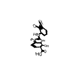 O=C(O)c1ccc2nc(Nc3cccc(Cl)c3Cl)[nH]c2c1O